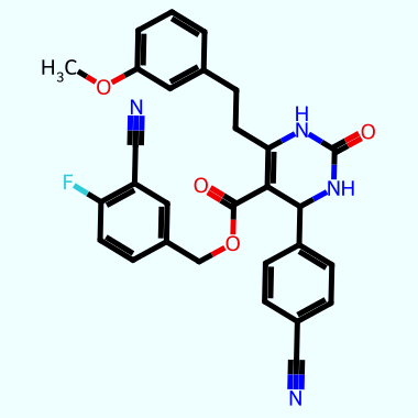 COc1cccc(CCC2=C(C(=O)OCc3ccc(F)c(C#N)c3)C(c3ccc(C#N)cc3)NC(=O)N2)c1